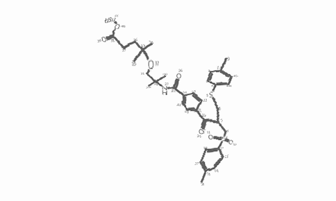 Cc1ccc(SCC(CS(=O)(=O)c2ccc(C)cc2)C(=O)c2ccc(C(=O)NC(C)(C)COC(C)(C)CCC(=O)OC(C)(C)C)cc2)cc1